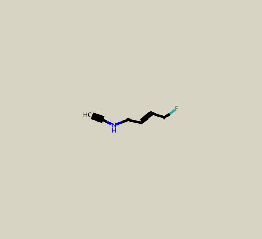 C#CNCC=CCF